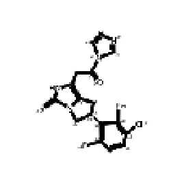 O=C(Cc1[nH]c(=S)n2c1C[C@@H](c1c(F)ccc(Cl)c1F)C2)n1ccnc1